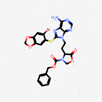 Nc1ncnc2c1nc(Sc1cc3c(cc1Br)OCO3)n2CCC1C(=O)OCN1C(=O)OCc1ccccc1